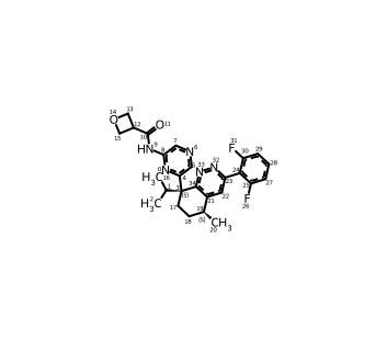 CC(C)[C@]1(c2cncc(NC(=O)C3COC3)n2)CC[C@H](C)c2cc(-c3c(F)cccc3F)nnc21